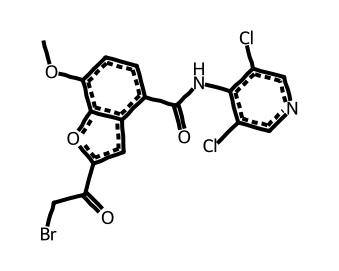 COc1ccc(C(=O)Nc2c(Cl)cncc2Cl)c2cc(C(=O)CBr)oc12